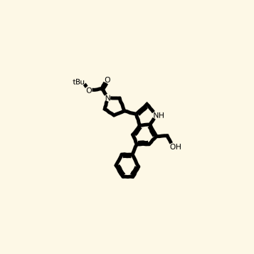 CC(C)(C)OC(=O)N1CCC(c2c[nH]c3c(CO)cc(-c4ccccc4)cc23)C1